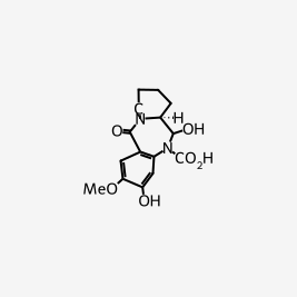 COc1cc2c(cc1O)N(C(=O)O)C(O)[C@@H]1CCCCN1C2=O